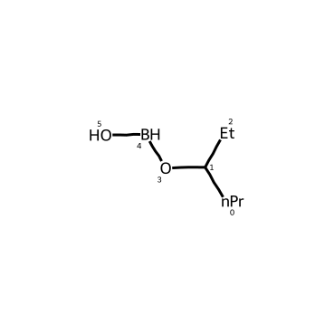 CCCC(CC)OBO